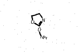 C1=NCCO1.CCC[O]